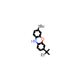 CCC(C)(C)c1ccc2c(c1)Oc1cc(C(C)(C)C)ccc1N2